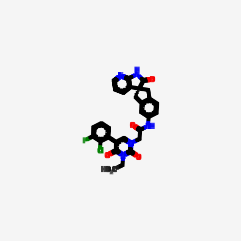 O=C(O)Cn1c(=O)c(-c2cccc(F)c2Cl)cn(CC(=O)Nc2ccc3c(c2)C[C@@]2(C3)C(=O)Nc3ncccc32)c1=O